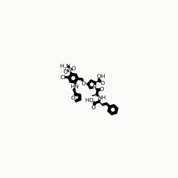 C[C@H](N[C@@H](CCc1ccccc1)C(=O)O)C(=O)N1C[C@H](OCc2cc(S(N)(=O)=O)c(Cl)cc2NCc2ccco2)C[C@H]1C(=O)O